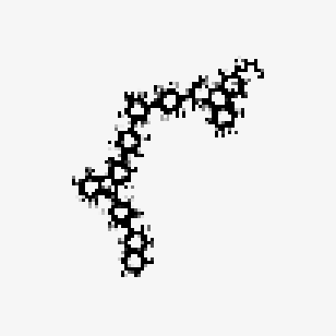 CC1C=Cc2c(c3ncc(-c4ccc(-c5cccc(-c6ccc(-c7ccc8c(c7)c7ccccc7n8-c7ccc(-c8ccc9ccccc9c8)cc7)cc6)c5)cc4)nc3c3ccccc23)C1